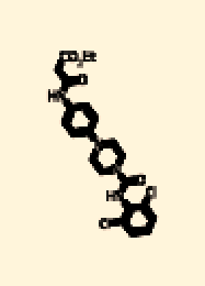 CCOC(=O)CC(=O)Nc1ccc(N2CCN(C(=O)Nc3c(Cl)cccc3Cl)CC2)cc1